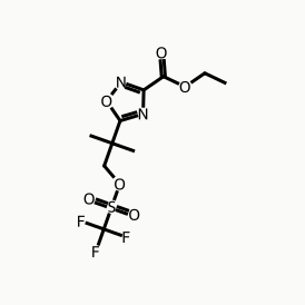 CCOC(=O)c1noc(C(C)(C)COS(=O)(=O)C(F)(F)F)n1